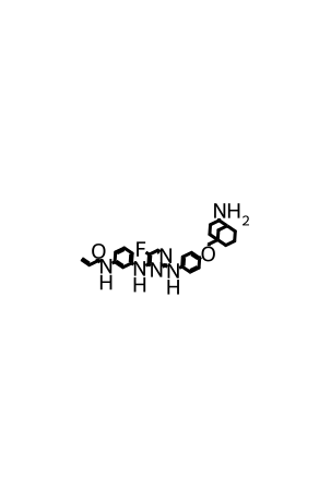 C=CC(=O)Nc1cccc(Nc2nc(Nc3ccc(OCC45CCCC(C4)C(N)CC5)cc3)ncc2F)c1